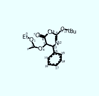 CCOC(C)OC1C(=O)OC(OC(C)(C)C)=NC1c1ccccc1